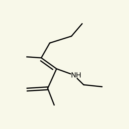 C=C(C)/C(NCC)=C(\C)CCC